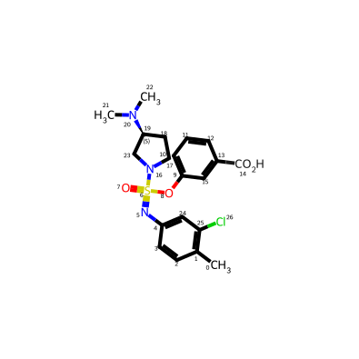 Cc1ccc(N=S(=O)(Oc2cccc(C(=O)O)c2)N2CC[C@H](N(C)C)C2)cc1Cl